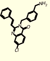 NCc1cccc(Cn2c(/C=C/c3ccccc3)nc3cc(Cl)ccc3c2=O)c1